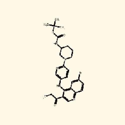 CCC(=O)c1cnc2ccc(Br)cc2c1Nc1ccc(N2CCCC(NC(=O)OC(C)(C)C)C2)nc1